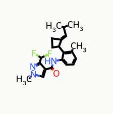 Cc1cccc(NC(=O)c2cn(C)nc2C(F)F)c1C1CCC1=CC(C)C